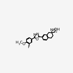 COc1ccc(-c2nnc(-c3ccc4c(c3)CC(N)(CO)CC4)o2)cc1F